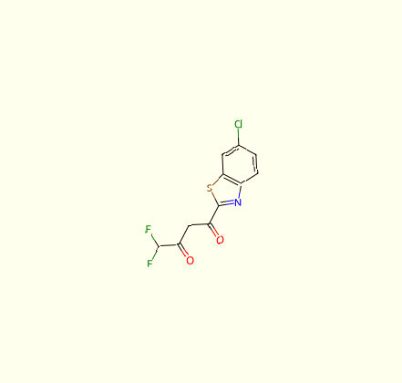 O=C(CC(=O)C(F)F)c1nc2ccc(Cl)cc2s1